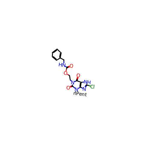 CCCCCn1c(=O)n(CCOC(=O)NCc2ccccc2)c(=O)c2[nH]c(Cl)nc21